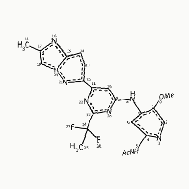 COc1cnc(NC(C)=O)cc1Nc1cc(-c2ccc3nc(C)cn3n2)nc(C(C)(F)F)n1